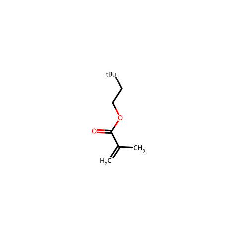 C=C(C)C(=O)OCCC(C)(C)C